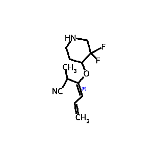 C=C/C=C(/OC1CCNCC1(F)F)C(C)C#N